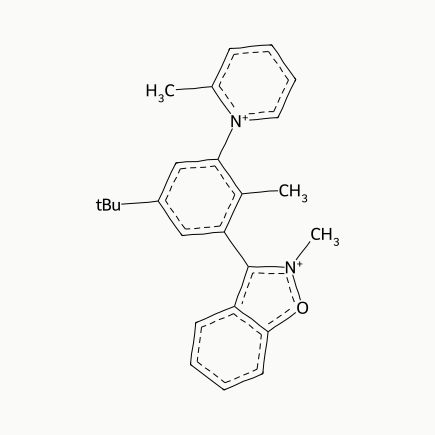 Cc1c(-c2c3ccccc3o[n+]2C)cc(C(C)(C)C)cc1-[n+]1ccccc1C